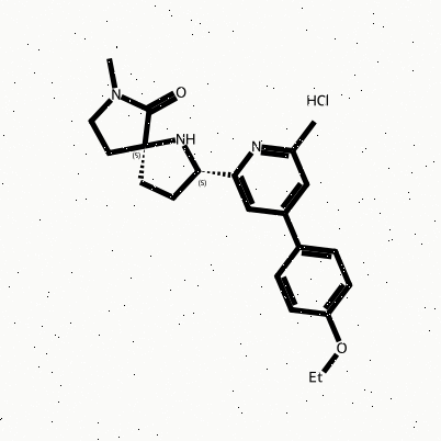 CCOc1ccc(-c2cc(C)nc([C@@H]3CC[C@@]4(CCN(C)C4=O)N3)c2)cc1.Cl